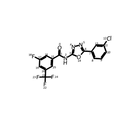 O=C(Nc1nnc(-c2cccc(Cl)c2)o1)c1cc(F)cc(C(F)(F)F)c1